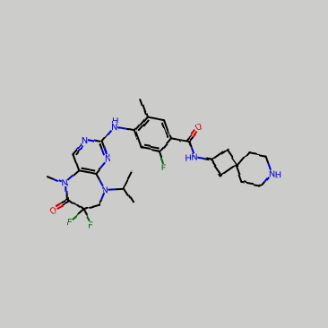 Cc1cc(C(=O)NC2CC3(CCNCC3)C2)c(F)cc1Nc1ncc2c(n1)N(C(C)C)CC(F)(F)C(=O)N2C